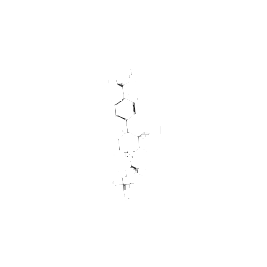 COC(=O)c1ccc(C2CCN(C(=O)OC(C)(C)C)CC2O)cc1